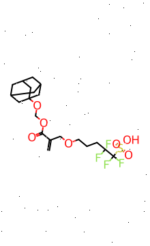 C=C(COCCCC(F)(F)C(F)(F)S(=O)(=O)O)C(=O)OCOC12CC3CC(CC(C3)C1)C2